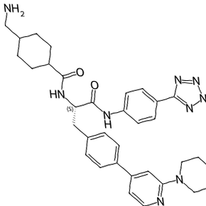 NCC1CCC(C(=O)N[C@@H](Cc2ccc(-c3ccnc(N4CCOCC4)c3)cc2)C(=O)Nc2ccc(-c3nn[nH]n3)cc2)CC1